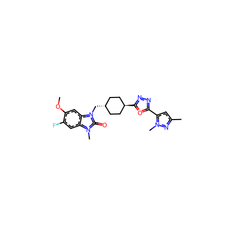 COc1cc2c(cc1F)n(C)c(=O)n2C[C@H]1CC[C@H](c2nnc(-c3cc(C)nn3C)o2)CC1